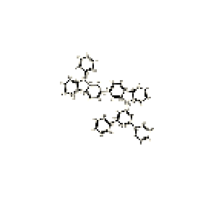 c1ccc(-c2cc(-n3c4ccccc4c4ccc(-c5ccc6c7ncccc7n(-c7ccccc7)c6c5)cc43)cc(-c3ccccc3)n2)cc1